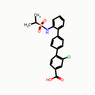 CC(C)S(=O)(=O)Nc1ccccc1-c1ccc(-c2ccc(C(=O)O)cc2Cl)cc1